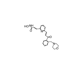 O=C(C=Cc1cccc(C=CC(=O)c2ccccc2CN2CCOCC2)n1)NO